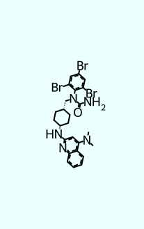 CN(C)c1cc(N[C@H]2CC[C@@H](CN(C(N)=O)c3c(Br)cc(Br)cc3Br)CC2)nc2ccccc12